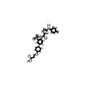 COC(=O)CCO[C@H]1CC[C@H](c2ccc(NC(=O)c3nnc(Nc4ccc(F)cc4)o3)c([N+](=O)[O-])c2)CC1